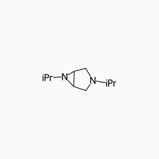 CC(C)N1CC2C(C1)N2C(C)C